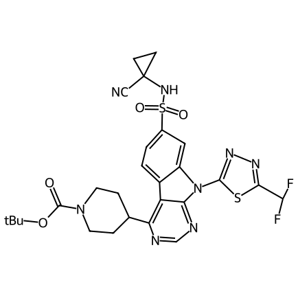 CC(C)(C)OC(=O)N1CCC(c2ncnc3c2c2ccc(S(=O)(=O)NC4(C#N)CC4)cc2n3-c2nnc(C(F)F)s2)CC1